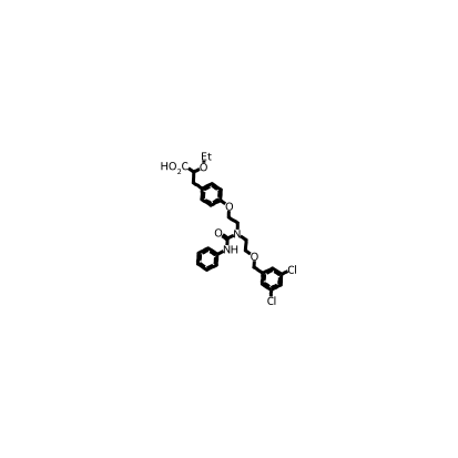 CCOC(Cc1ccc(OCCN(CCOCc2cc(Cl)cc(Cl)c2)C(=O)Nc2ccccc2)cc1)C(=O)O